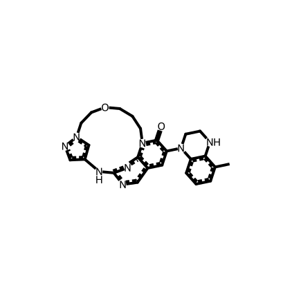 Cc1cccc2c1NCCN2c1cc2cnc3nc2n(c1=O)CCCOCCn1cc(cn1)N3